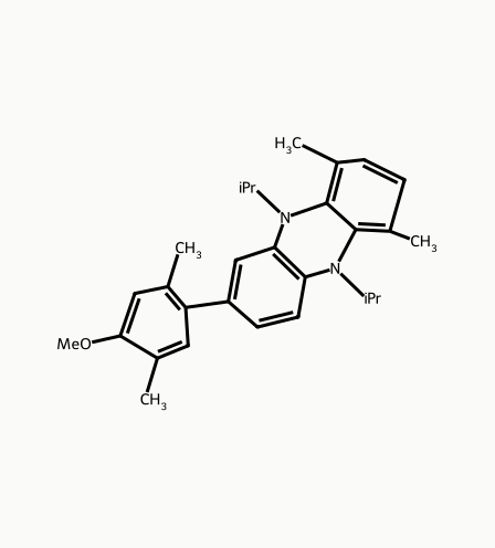 COc1cc(C)c(-c2ccc3c(c2)N(C(C)C)c2c(C)ccc(C)c2N3C(C)C)cc1C